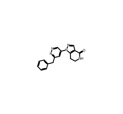 O=C1NCCc2c1cnn2-c1cnnc(Cc2ccccc2)c1